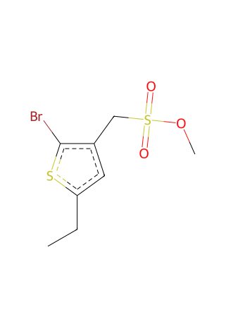 CCc1cc(CS(=O)(=O)OC)c(Br)s1